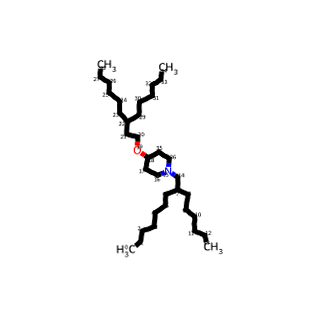 CCCCCCCC(CCCCCC)CN1CCC(OCCC(CCCCCC)CCCCCC)CC1